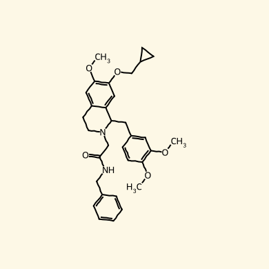 COc1ccc(CC2c3cc(OCC4CC4)c(OC)cc3CCN2CC(=O)NCc2ccccc2)cc1OC